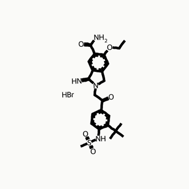 Br.CCOc1cc2c(cc1C(N)=O)C(=N)N(CC(=O)c1ccc(NS(C)(=O)=O)c(C(C)(C)C)c1)C2